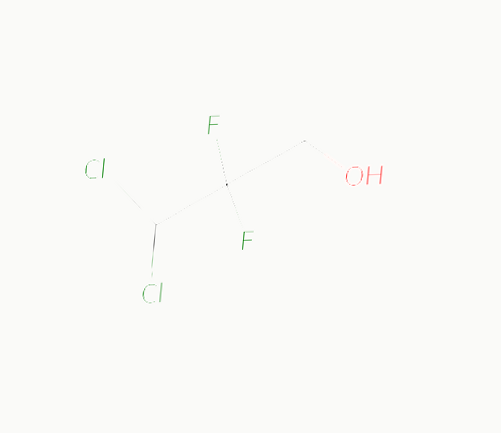 OCC(F)(F)C(Cl)Cl